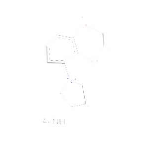 CC(=O)N[C@H]1CCN(c2cccc3c2OCCO3)C1